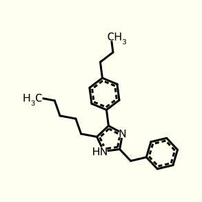 CCCCCc1[nH]c(Cc2ccccc2)nc1-c1ccc(CCC)cc1